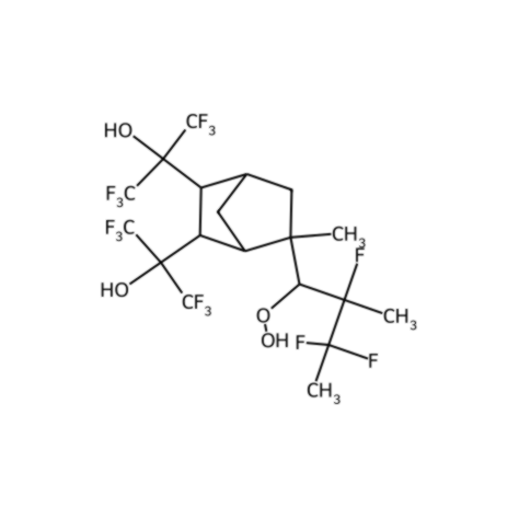 CC1(C(OO)C(C)(F)C(C)(F)F)CC2CC1C(C(O)(C(F)(F)F)C(F)(F)F)C2C(O)(C(F)(F)F)C(F)(F)F